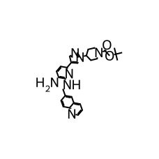 CC(C)(C)OC(=O)N1CCC(n2cc(-c3ccc(N)c(NCc4ccc5ncccc5c4)n3)cn2)CC1